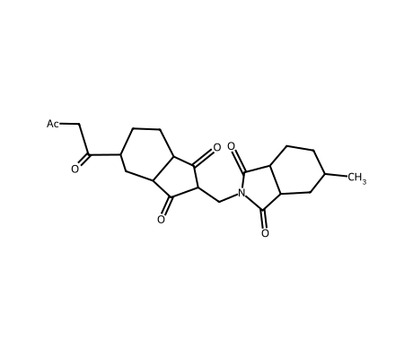 CC(=O)CC(=O)C1CCC2C(=O)C(CN3C(=O)C4CCC(C)CC4C3=O)C(=O)C2C1